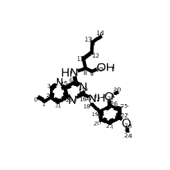 C=Cc1cnc2c(NC(CO)CCCC)nc(NCc3ccc(OC)cc3OC)nc2c1